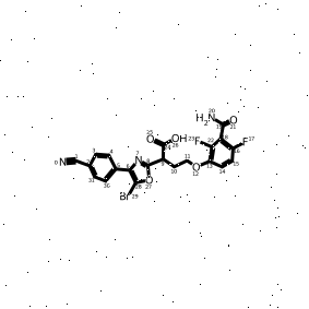 N#Cc1ccc(-c2nc(C(CCOc3ccc(F)c(C(N)=O)c3F)C(=O)O)oc2Br)cc1